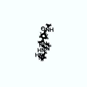 O=C(NC1CC1)c1ccc(-c2cnc3c(NCc4ccn[nH]4)nccn23)cc1